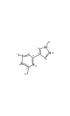 Cn1cc(-c2cc(I)nc(I)n2)cn1